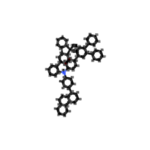 CC1(C)c2ccccc2-c2cc(-c3ccccc3N(c3ccc(-c4ccc(-c5ccccc5)c(-c5ccccc5)c4)cc3)c3ccc(-c4cccc5c4ccc4ccccc45)cc3)ccc21